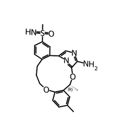 Cc1ccc2c(c1)[C@@H](C)Oc1nc(cnc1N)-c1cc(S(C)(=N)=O)ccc1CCCO2